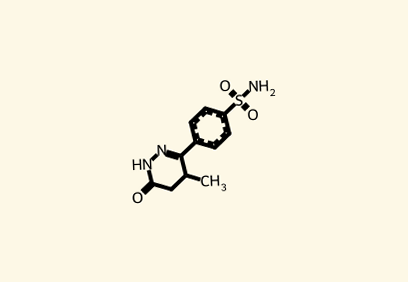 CC1CC(=O)NN=C1c1ccc(S(N)(=O)=O)cc1